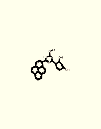 CCOC1N=C(C2C=CC(O)=CC2O)N=C(c2ccc3ccc4cccc5ccc2c3c45)N1